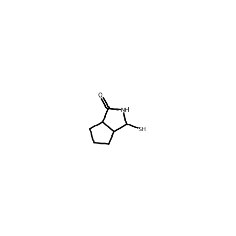 O=C1NC(S)C2CCCC12